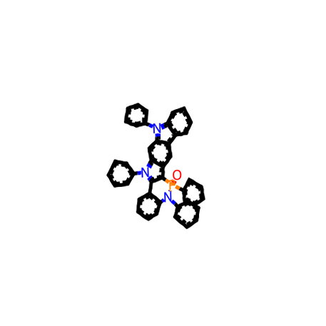 O=P1(c2ccccc2)c2c(n(-c3ccccc3)c3cc4c(cc23)c2ccccc2n4-c2ccccc2)-c2ccccc2N1c1ccccc1